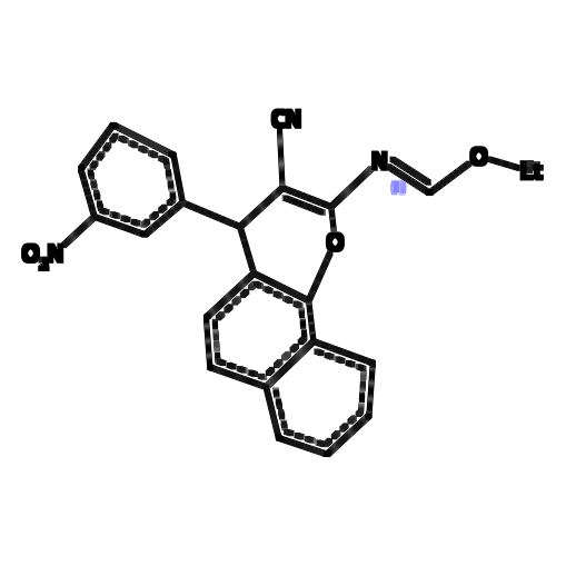 CCO/C=N/C1=C(C#N)C(c2cccc([N+](=O)[O-])c2)c2ccc3ccccc3c2O1